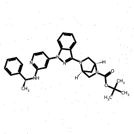 C[C@H](Nc1cc(-n2nc(N3C[C@@H]4C[C@H]3CN4C(=O)OC(C)(C)C)c3ccccc32)ccn1)c1ccccc1